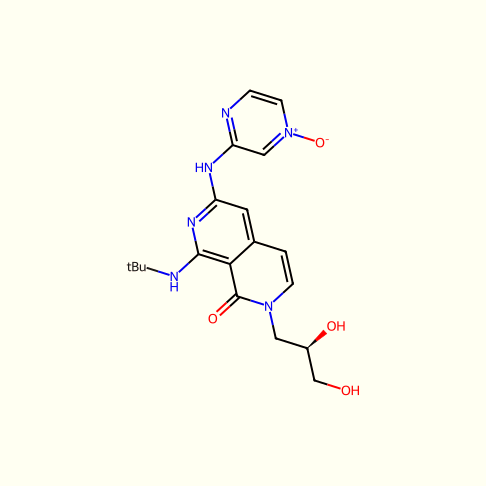 CC(C)(C)Nc1nc(Nc2c[n+]([O-])ccn2)cc2ccn(C[C@@H](O)CO)c(=O)c12